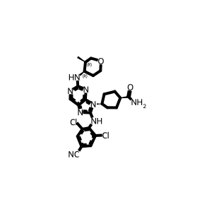 C[C@H]1COCC[C@H]1Nc1ncc2nc(Nc3c(Cl)cc(C#N)cc3Cl)n([C@H]3CC[C@H](C(N)=O)CC3)c2n1